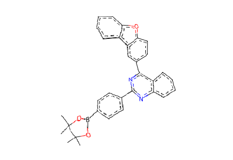 CC1(C)OB(c2ccc(-c3nc(-c4ccc5oc6ccccc6c5c4)c4ccccc4n3)cc2)OC1(C)C